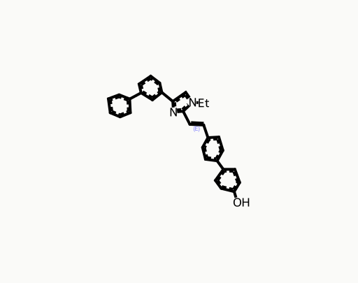 CCn1cc(-c2cccc(-c3ccccc3)c2)nc1/C=C/c1ccc(-c2ccc(O)cc2)cc1